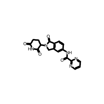 O=C1CCC(N2Cc3cc(NC(=O)c4ncccn4)ccc3C2=O)C(=O)N1